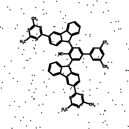 Cc1cc(-c2cc(-n3c4ccccc4c4cc(-c5nc(C)nc(C)n5)ccc43)c(C#N)c(-n3c4ccccc4c4cc(-c5nc(C)nc(C)n5)ccc43)c2)cc(C(F)(F)F)c1